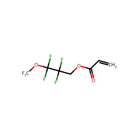 C=CC(=O)OCC(F)(F)C(F)(F)OC(F)(F)F